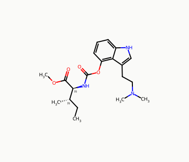 CC[C@H](C)[C@H](NC(=O)Oc1cccc2[nH]cc(CCN(C)C)c12)C(=O)OC